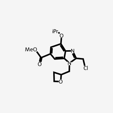 COC(=O)c1cc(OC(C)C)c2nc(CCl)n(CC3CCO3)c2c1